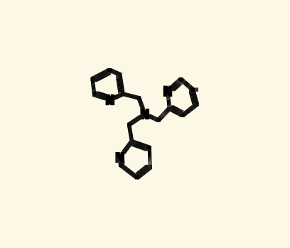 [c]1ccc(CN(Cc2ccccn2)Cc2ccccn2)nc1